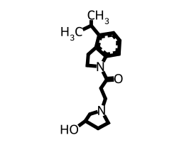 CC(C)c1cccc2c1CCN2C(=O)CCN1CCC(O)C1